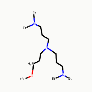 CCN(CC)CCCN(CCCN(CC)CC)CC[SiH2]OC(C)(C)C